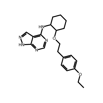 CCOc1ccc(CCOC2CCCCC2Nc2ncnc3[nH]ncc23)cc1